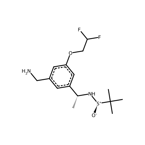 C[C@@H](N[S@+]([O-])C(C)(C)C)c1cc(CN)cc(OCC(F)F)c1